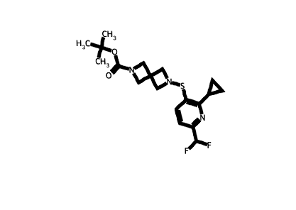 CC(C)(C)OC(=O)N1CC2(CN(Sc3ccc(C(F)F)nc3C3CC3)C2)C1